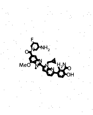 COc1cc(C(=O)N2C[C@H](N)C[C@@H](F)C2)cc2nc(-c3cc4ccc(-c5ccc(O)c(C(N)=O)c5C)nc4n3CC3CC3)n(C)c12